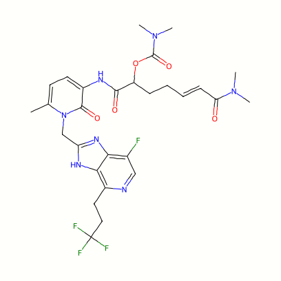 Cc1ccc(NC(=O)C(CC/C=C/C(=O)N(C)C)OC(=O)N(C)C)c(=O)n1Cc1nc2c(F)cnc(CCC(F)(F)F)c2[nH]1